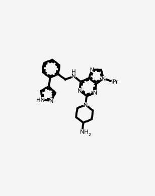 CC(C)n1cnc2c(NCc3ccccc3-c3cn[nH]c3)nc(N3CCC(N)CC3)nc21